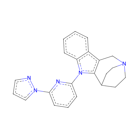 c1cc(-n2cccn2)nc(-n2c3c(c4ccccc42)CN2CCC3CC2)c1